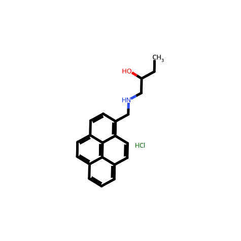 CCC(O)CNCc1ccc2ccc3cccc4ccc1c2c34.Cl